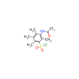 Cc1c(C)c(NC(=O)C(F)(F)F)c(C)c(S(=O)(=O)Cl)c1C